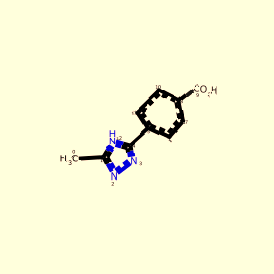 Cc1nnc(-c2ccc(C(=O)O)cc2)[nH]1